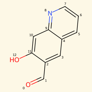 O=Cc1cc2cccnc2cc1O